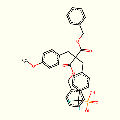 O=C(OCc1ccccc1)C(Cc1ccc(OC(F)(F)F)cc1)(Cc1ccc(C(F)(F)P(=O)(O)O)cc1)C(=O)OCc1ccccc1